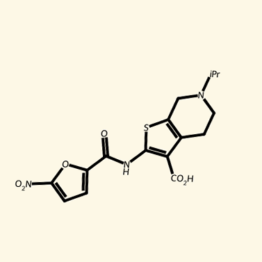 CC(C)N1CCc2c(sc(NC(=O)c3ccc([N+](=O)[O-])o3)c2C(=O)O)C1